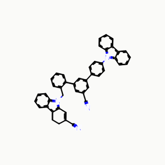 N#CC1=Cc2c(c3ccccc3n2Cc2ccccc2-c2cc(C#N)cc(-c3ccc(-n4c5ccccc5c5ccccc54)cc3)c2)CC1